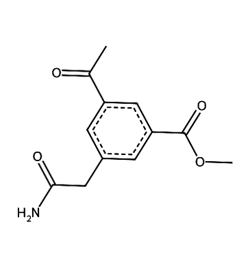 COC(=O)c1cc(CC(N)=O)cc(C(C)=O)c1